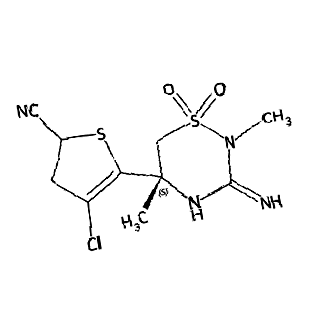 CN1C(=N)N[C@](C)(C2=C(Cl)CC(C#N)S2)CS1(=O)=O